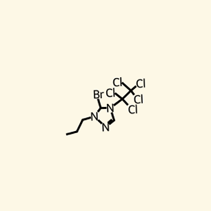 CCCN1N=CN(C(Cl)(Cl)C(Cl)(Cl)Cl)C1Br